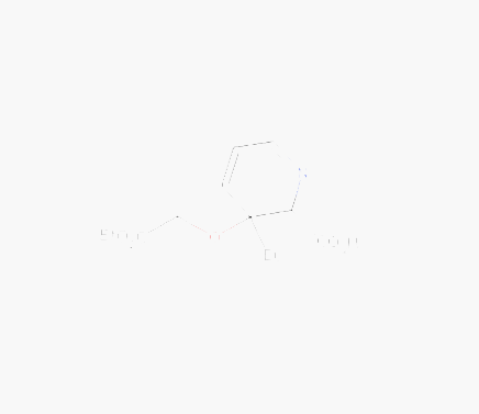 CCOC(=O)COC1(CC)C=CC=NC1C(=O)O